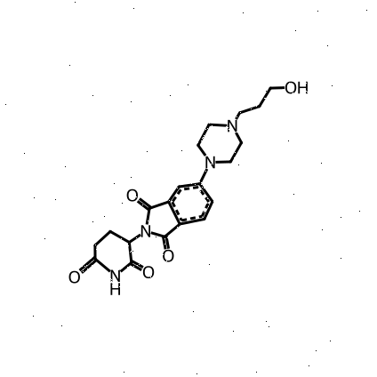 O=C1CCC(N2C(=O)c3ccc(N4CCN(CCCO)CC4)cc3C2=O)C(=O)N1